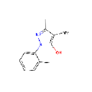 CCCc1c(C)nn(-c2ccccc2C)c1O